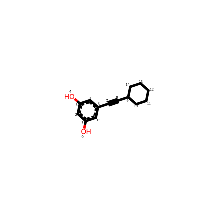 Oc1cc(O)cc(C#CC2CCCCC2)c1